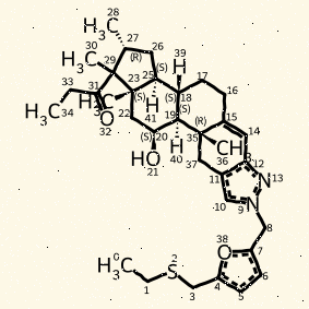 CCSCc1ccc(Cn2cc3c(n2)C=C2CC[C@@H]4[C@H]([C@@H](O)C[C@@]5(C)[C@H]4C[C@@H](C)C5(C)C(=O)CC)[C@@]2(C)C3)o1